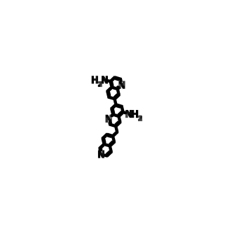 Nc1ccnc2cc(-c3cc(N)c4cc(Cc5ccc6cnccc6c5)cnc4c3)ccc12